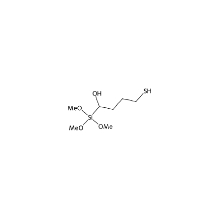 CO[Si](OC)(OC)C(O)CCCS